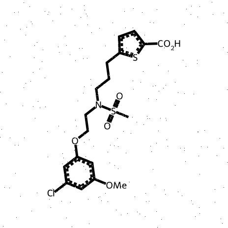 COc1cc(Cl)cc(OCCN(CCCc2ccc(C(=O)O)s2)S(C)(=O)=O)c1